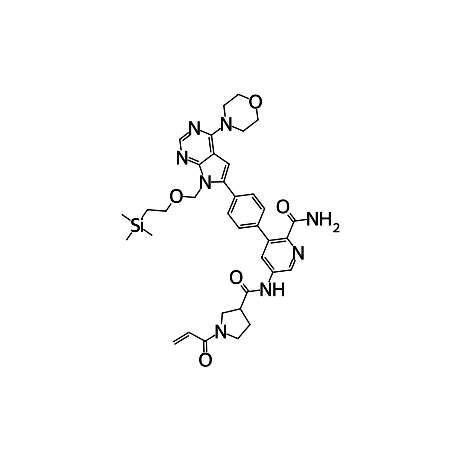 C=CC(=O)N1CCC(C(=O)Nc2cnc(C(N)=O)c(-c3ccc(-c4cc5c(N6CCOCC6)ncnc5n4COCC[Si](C)(C)C)cc3)c2)C1